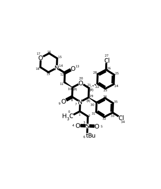 CC(CS(=O)(=O)C(C)(C)C)N1C(=O)[C@@H](CC(=O)N2CCOCC2)O[C@H](c2cccc(Cl)c2)[C@H]1c1ccc(Cl)cc1